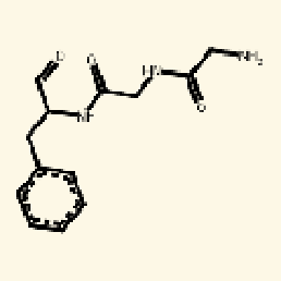 NCC(=O)NCC(=O)NC([C]=O)Cc1ccccc1